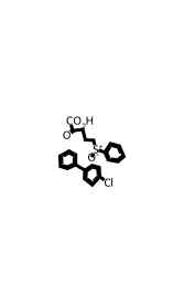 Clc1ccc(-c2ccccc2)cc1.O=C(O)C(=O)CCC[S+]([O-])c1ccccc1